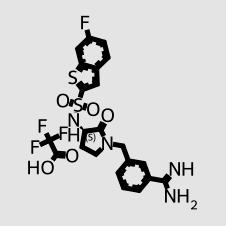 N=C(N)c1cccc(CN2CC[C@H](NS(=O)(=O)c3cc4ccc(F)cc4s3)C2=O)c1.O=C(O)C(F)(F)F